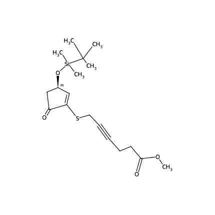 COC(=O)CCC#CCSC1=C[C@H](O[Si](C)(C)C(C)(C)C)CC1=O